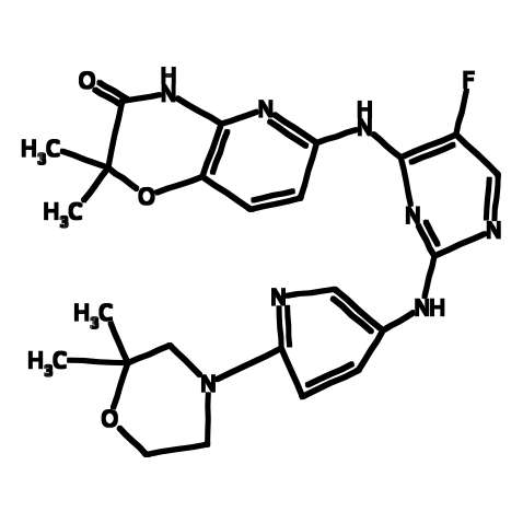 CC1(C)CN(c2ccc(Nc3ncc(F)c(Nc4ccc5c(n4)NC(=O)C(C)(C)O5)n3)cn2)CCO1